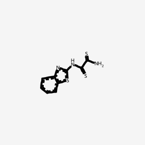 NC(=S)C(=S)Nc1nc2ccccc2s1